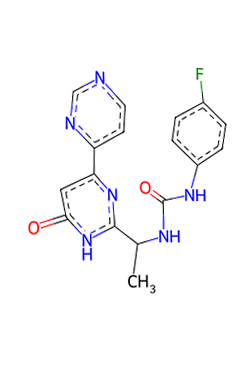 CC(NC(=O)Nc1ccc(F)cc1)c1nc(-c2ccncn2)cc(=O)[nH]1